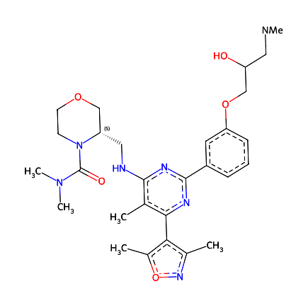 CNCC(O)COc1cccc(-c2nc(NC[C@H]3COCCN3C(=O)N(C)C)c(C)c(-c3c(C)noc3C)n2)c1